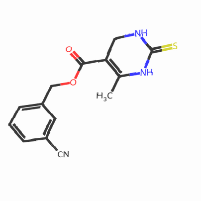 CC1=C(C(=O)OCc2cccc(C#N)c2)CNC(=S)N1